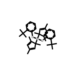 CC1=C[C](C)([Zr]([O]c2ccccc2C(C)(C)C)([O]c2ccccc2C(C)(C)C)[C]2(C)C=C(C)C=C2C)C(C)=C1